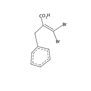 O=C(O)C(Cc1ccccc1)=C(Br)Br